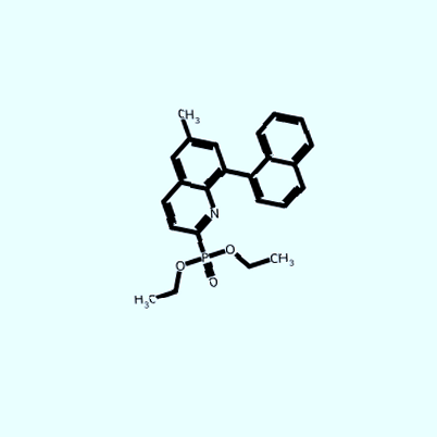 CCOP(=O)(OCC)c1ccc2cc(C)cc(-c3cccc4ccccc34)c2n1